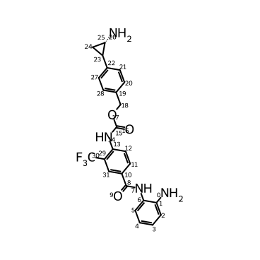 Nc1ccccc1NC(=O)c1ccc(NC(=O)OCc2ccc(C3C[C@@H]3N)cc2)c(C(F)(F)F)c1